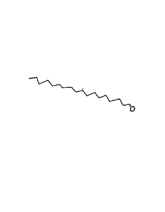 CCCCCCCCC[CH]CCCCCCCC=O